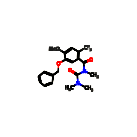 COc1cc(C(F)(F)F)c(C(=O)N(C)C(=O)N(C)C)cc1OCc1ccccc1